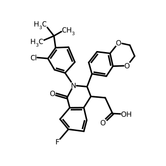 CC(C)(C)c1ccc(N2C(=O)c3cc(F)ccc3C(CC(=O)O)C2c2ccc3c(c2)OCCO3)cc1Cl